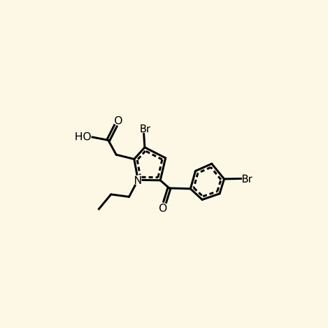 CCCn1c(C(=O)c2ccc(Br)cc2)cc(Br)c1CC(=O)O